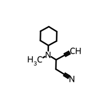 C#CC(CC#N)N(C)C1CCCCC1